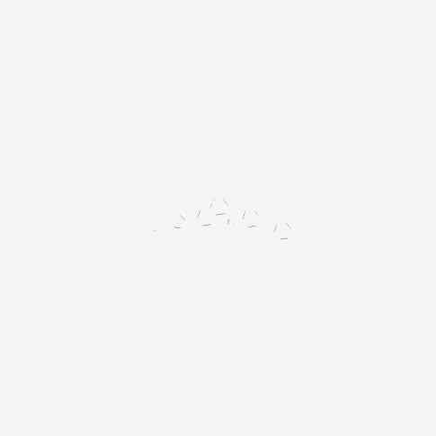 NCc1nc(-c2ccc3c(Nc4ccc(Oc5ccccc5)cc4)ccnc3c2)cs1